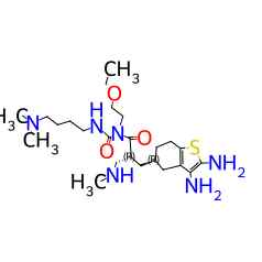 CCOCCN(C(=O)NCCCCN(C)C)C(=O)[C@@H](CNC)C[C@H]1CCc2sc(N)c(N)c2C1